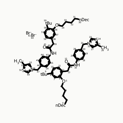 CCCCCCCCCCCCCCOc1cc(C(C)(C)C)ccc1CC(=O)Nc1ccc(C[n+]2csc(C)c2)cc1.CCCCCCCCCCCCCCOc1cc(CC(=O)Nc2ccc(C[n+]3csc(C)c3)cc2)ccc1C(C)(C)C.[Br-].[Br-]